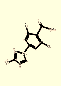 COC(=O)c1c(Cl)cc(-n2cnc(C)n2)cc1Cl